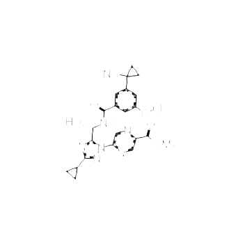 COC(=O)c1cnc(-n2nc(C3CC3)nc2[C@H](C)NC(=O)c2cc(OC(F)(F)F)cc(C3(C#N)CC3)c2)cn1